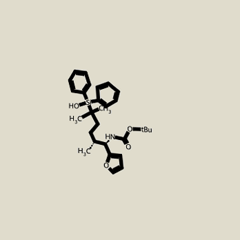 C[C@H](CCC(C)(C)[Si](O)(c1ccccc1)c1ccccc1)[C@H](NC(=O)OC(C)(C)C)c1ccco1